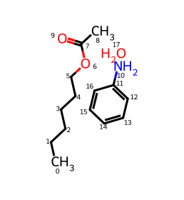 CCCCCCOC(C)=O.Nc1ccccc1.O